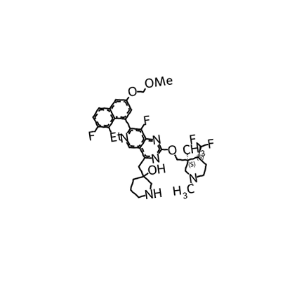 CCc1c(F)ccc2cc(OCOC)cc(-c3ncc4c(CC5(O)CCCNC5)nc(OC[C@]5(C)CN(C)CC[C@@H]5C(F)F)nc4c3F)c12